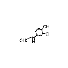 O=[C]CNc1ccc(O)c(Cl)c1